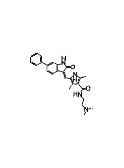 Cc1[nH]c(C=C2C(=O)Nc3cc(-c4ccccc4)ccc32)c(C)c1C(=O)NCCN(C)C